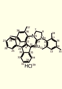 Cc1cc(C)c(N2CCN(c3c(C)cc(C)cc3C)[C]2=[Ru]=[C]2C=C(c3ccccc3)c3ccccc32)c(C)c1.Cl